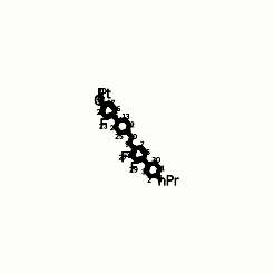 CCCC1CC=C(c2ccc(CCC3CCC(c4ccc(OCC)cc4F)CC3)c(F)c2F)CC1